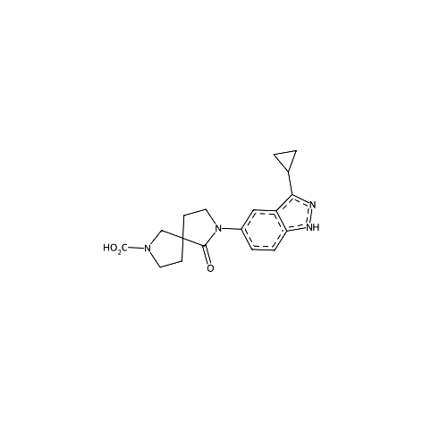 O=C(O)N1CCC2(CCN(c3ccc4[nH]nc(C5CC5)c4c3)C2=O)C1